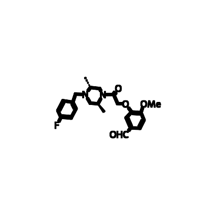 COc1ccc(C=O)cc1OCC(=O)N1C[C@@H](C)N(Cc2ccc(F)cc2)C[C@@H]1C